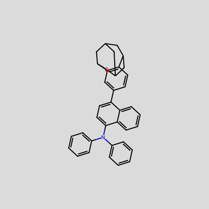 c1ccc(N(c2ccccc2)c2ccc(-c3ccc4c(c3)C3CC5CC(CC4C5)C3)c3ccccc23)cc1